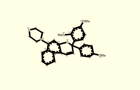 COc1ccc(C2(c3ccc(OC)cc3OC)C=Cc3c(cc(N4CCOCC4)c4ccccc34)O2)cc1